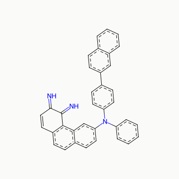 N=C1C=Cc2ccc3ccc(N(c4ccccc4)c4ccc(-c5ccc6ccccc6c5)cc4)cc3c2C1=N